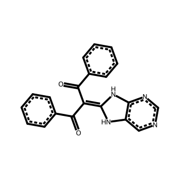 O=C(C(C(=O)c1ccccc1)=C1Nc2cncnc2N1)c1ccccc1